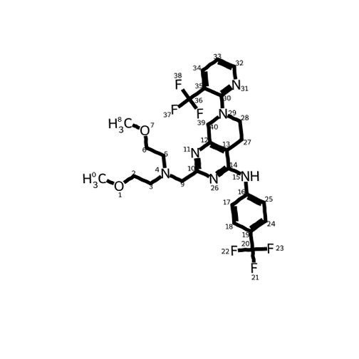 COCCN(CCOC)Cc1nc2c(c(Nc3ccc(C(F)(F)F)cc3)n1)CCN(c1ncccc1C(F)(F)F)C2